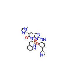 CN1CCC(c2ccc(Nc3ncc4cc(-c5nccn5C)c(=O)n(C5Cc6ccccc6NS5(=O)=O)c4n3)cc2)C1